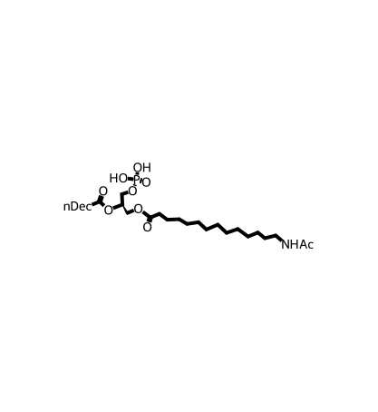 CCCCCCCCCCC(=O)O[C@H](COC(=O)CCCCCCCCCCCCCNC(C)=O)COP(=O)(O)O